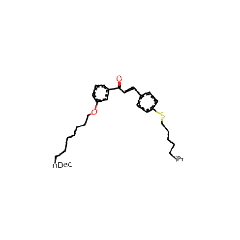 CCCCCCCCCCCCCCCCCOc1cccc(C(=O)C=Cc2ccc(SCCCCCC(C)C)cc2)c1